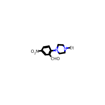 CCN1CCN(c2ccc([N+](=O)[O-])cc2C=O)CC1